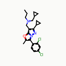 CCCN(Cc1c(C2CC2)nn2c(-c3ccc(Cl)cc3Cl)c(C)oc12)CC1CC1